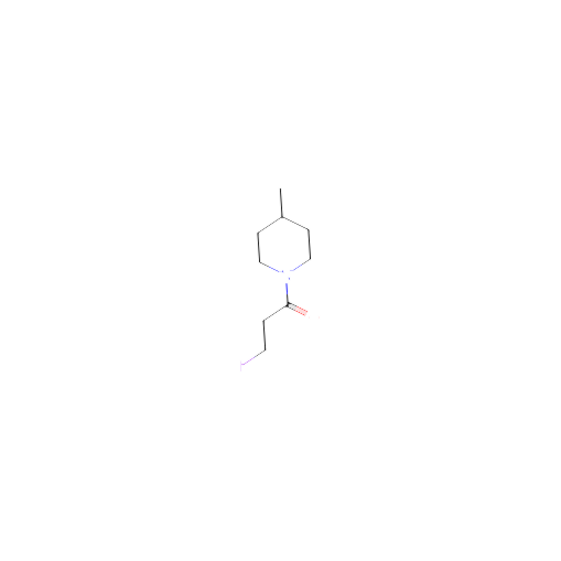 CC1CCN(C(=O)CCI)CC1